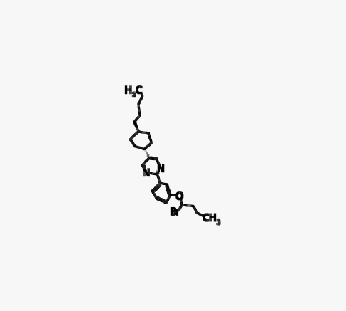 CCCCC[C@H]1CC[C@H](c2cnc(-c3cccc(OC(Br)CCC)c3)nc2)CC1